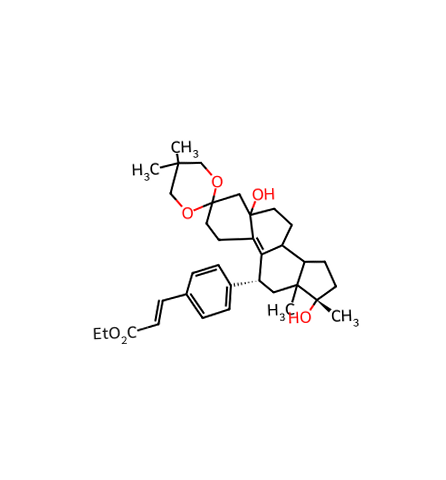 CCOC(=O)/C=C/c1ccc([C@H]2CC3(C)C(CC[C@]3(C)O)C3CCC4(O)CC5(CCC4=C32)OCC(C)(C)CO5)cc1